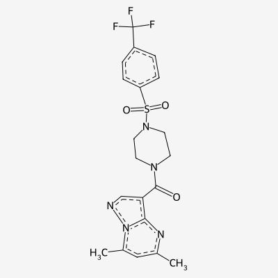 Cc1cc(C)n2ncc(C(=O)N3CCN(S(=O)(=O)c4ccc(C(F)(F)F)cc4)CC3)c2n1